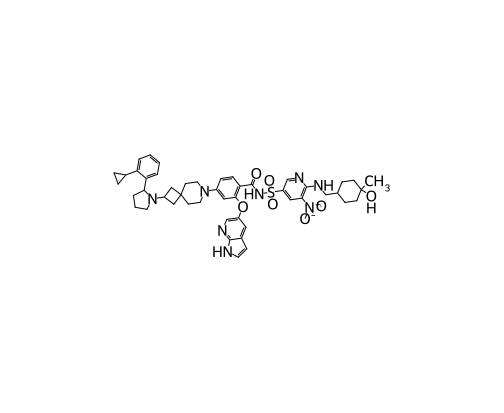 CC1(O)CCC(CNc2ncc(S(=O)(=O)NC(=O)c3ccc(N4CCC5(CC4)CC(N4CCCC4c4ccccc4C4CC4)C5)cc3Oc3cnc4[nH]ccc4c3)cc2[N+](=O)[O-])CC1